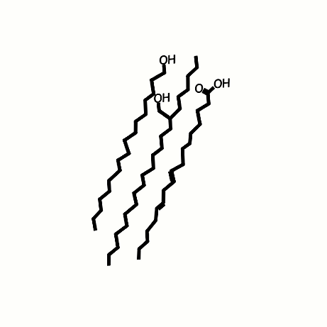 CCCCCC=CCC=CCCCCCCCC(=O)O.CCCCCCCCCCCCCCCC(CO)CCCCCC.CCCCCCCCCCCCCCCCCO